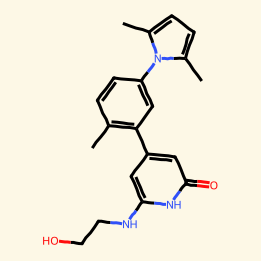 Cc1ccc(-n2c(C)ccc2C)cc1-c1cc(NCCO)[nH]c(=O)c1